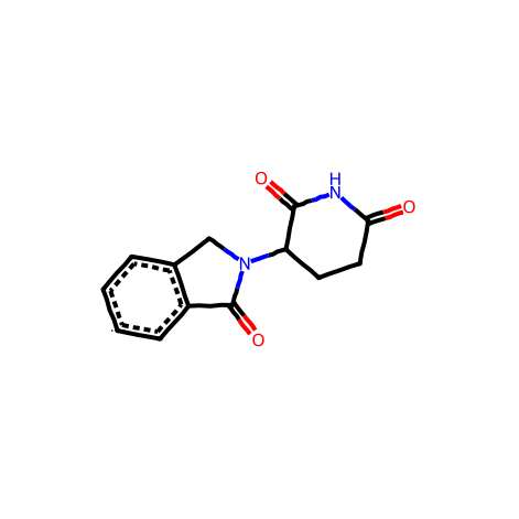 O=C1CCC(N2Cc3cc[c]cc3C2=O)C(=O)N1